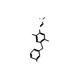 CCN(C)C=Nc1cc(F)c(Cc2cccc(F)c2)cc1F